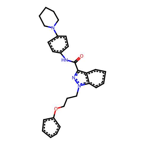 O=C(Nc1ccc(N2CCCCC2)cc1)c1nn(CCCOc2ccccc2)c2ccccc12